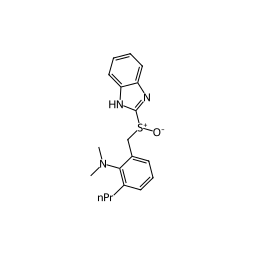 CCCc1cccc(C[S+]([O-])c2nc3ccccc3[nH]2)c1N(C)C